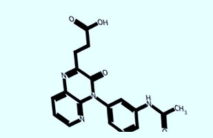 CC(=O)Nc1cccc(-n2c(=O)c(CCC(=O)O)nc3cccnc32)c1